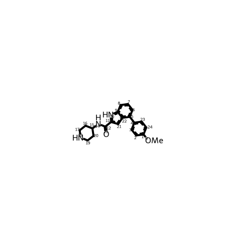 COc1ccc(-c2cccc3[nH]c(C(=O)NC4CCNCC4)cc23)cc1